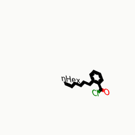 CCCCCC/C=C\CCCCc1ccccc1C(=O)Cl